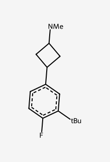 CNC1CC(c2ccc(F)c(C(C)(C)C)c2)C1